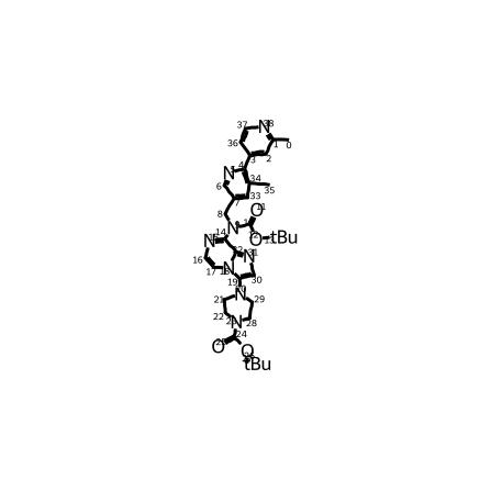 Cc1cc(-c2ncc(CN(C(=O)OC(C)(C)C)c3nccn4c(N5CCN(C(=O)OC(C)(C)C)CC5)cnc34)cc2C)ccn1